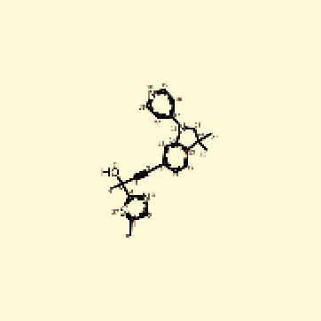 Cc1cnc(C(C)(O)C#Cc2ccc3c(c2)N(c2ccncc2)CC3(C)C)s1